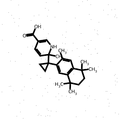 Cc1cc2c(cc1C1(C3(C)C=CC(C(=O)O)=CN3)CC1)C(C)(C)CCC2(C)C